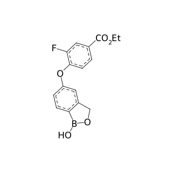 CCOC(=O)c1ccc(Oc2ccc3c(c2)COB3O)c(F)c1